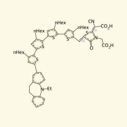 [C-]#[N+]/C(C(=O)O)=c1\s/c(=C\c2sc(-c3sc(-c4sc(-c5sc(-c6ccc7c(c6)CCc6ccccc6N7CC)cc5CCCCCC)cc4CCCCCC)cc3CCCCCC)cc2CCCCCC)c(=O)n1CC(=O)O